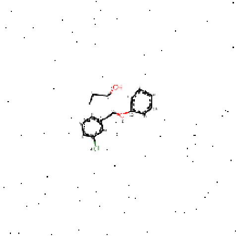 CCCO.Clc1cccc(COc2ccccc2)c1